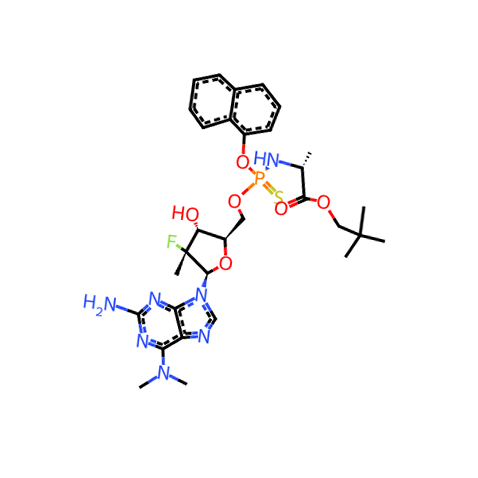 C[C@@H](N[P@@](=S)(OC[C@H]1O[C@@H](n2cnc3c(N(C)C)nc(N)nc32)[C@](C)(F)[C@@H]1O)Oc1cccc2ccccc12)C(=O)OCC(C)(C)C